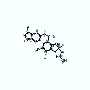 Cc1cnn2ccc(N[C@H](C)c3cc(F)c(F)c4c3OC(C)(CNO)C4)nc12